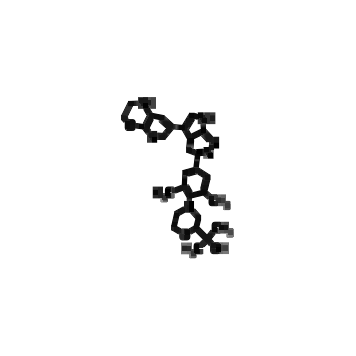 Cc1cc(-c2cc3c(-c4cnc5c(c4)NCCO5)c[nH]c3nn2)cc(C)c1N1CCOC(C(C)(C)O)C1